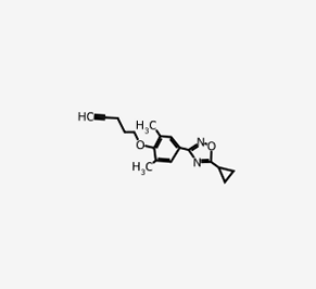 C#CCCCOc1c(C)cc(-c2noc(C3CC3)n2)cc1C